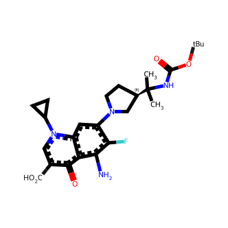 CC(C)(C)OC(=O)NC(C)(C)[C@@H]1CCN(c2cc3c(c(N)c2F)c(=O)c(C(=O)O)cn3C2CC2)C1